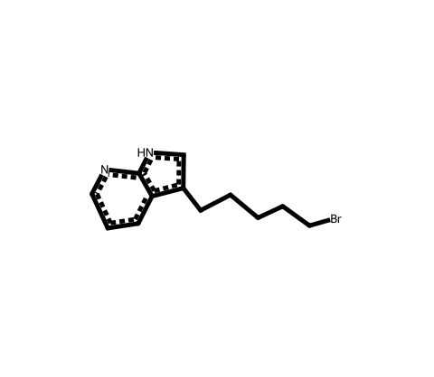 BrCCCCCc1c[nH]c2ncccc12